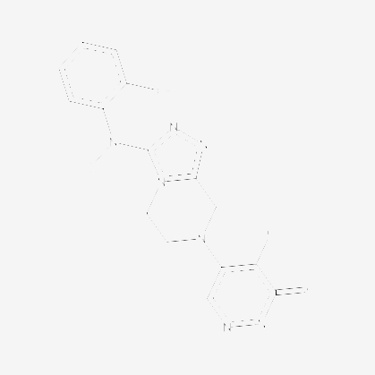 CN(c1ccccc1C(F)(F)F)c1nnc2n1CCN(c1cn[nH]c(=O)c1Cl)C2